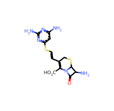 Nc1cc(SC=CC2=C(C(=O)O)N3C(=O)C(N)C3SC2)nc(N)n1